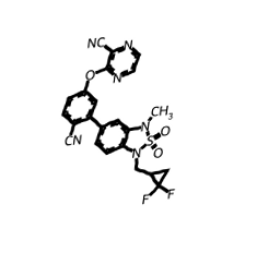 CN1c2cc(-c3cc(Oc4nccnc4C#N)ccc3C#N)ccc2N(CC2CC2(F)F)S1(=O)=O